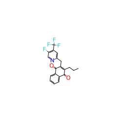 CCCC1=C(Cc2cc(C(F)(F)F)c(F)cn2)C(=O)c2ccccc2C1=O